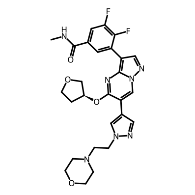 CNC(=O)c1cc(F)c(F)c(-c2cnn3cc(-c4cnn(CCN5CCOCC5)c4)c(O[C@H]4CCOC4)nc23)c1